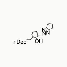 CCCCCCCCCCCCc1cccc(Cn2nc3ccccc3n2)c1O